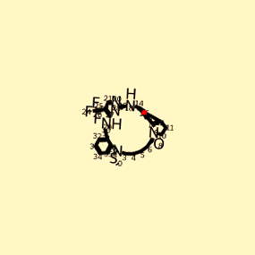 CSN1CCCCC(=O)N2CCc3cc(ccc32)Nc2ncc(C(F)(F)F)c(n2)NCc2ccccc21